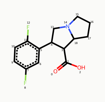 O=C(O)C1C(c2cc(F)ccc2F)CN2CCCC12